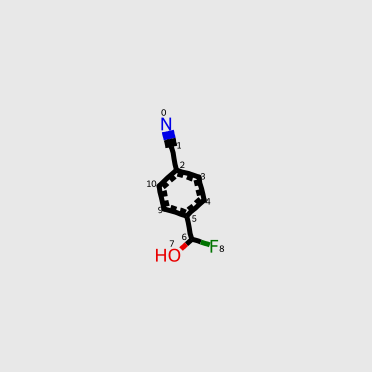 N#Cc1ccc(C(O)F)cc1